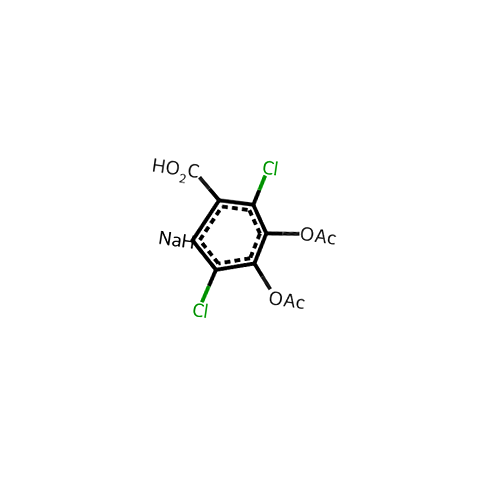 CC(=O)Oc1c(Cl)cc(C(=O)O)c(Cl)c1OC(C)=O.[NaH]